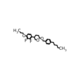 CCCCCc1ccc(COC2CCC(c3ccc(OCCC)c(F)c3F)CO2)cc1